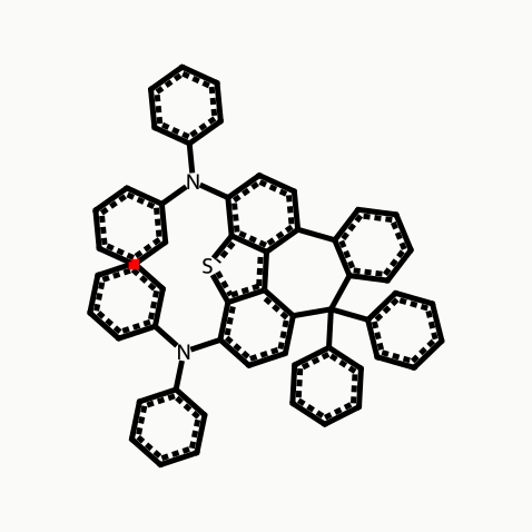 c1ccc(N(c2ccccc2)c2ccc3c4c2sc2c(N(c5ccccc5)c5ccccc5)ccc(c24)C(c2ccccc2)(c2ccccc2)c2ccccc2-3)cc1